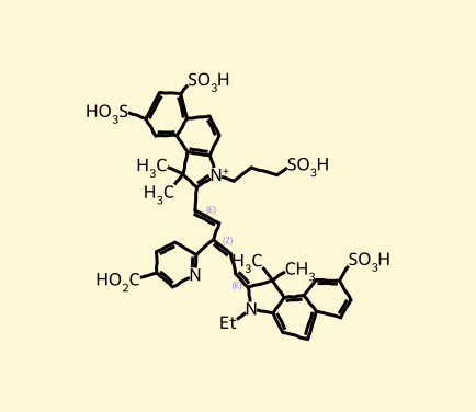 CCN1/C(=C/C=C(/C=C/C2=[N+](CCCS(=O)(=O)O)c3ccc4c(S(=O)(=O)O)cc(S(=O)(=O)O)cc4c3C2(C)C)c2ccc(C(=O)O)cn2)C(C)(C)c2c1ccc1ccc(S(=O)(=O)O)cc21